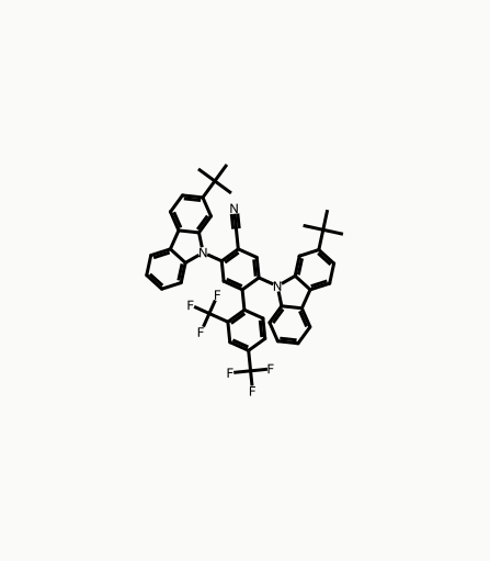 CC(C)(C)c1ccc2c3ccccc3n(-c3cc(-c4ccc(C(F)(F)F)cc4C(F)(F)F)c(-n4c5ccccc5c5ccc(C(C)(C)C)cc54)cc3C#N)c2c1